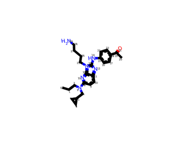 CCCN(CC1CC1)c1ccc2nc(Nc3ccc(C(C)=O)cc3)n(CCCCN)c2n1